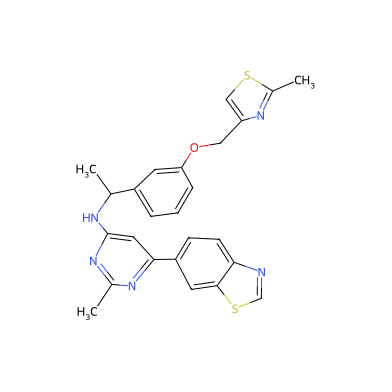 Cc1nc(NC(C)c2cccc(OCc3csc(C)n3)c2)cc(-c2ccc3ncsc3c2)n1